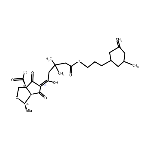 C=C1CC(C)CC(CCCOC(=O)CC(C)(C)C/C(O)=C2/C(=O)N3[C@@H](CCCC)OC[C@]3(C(=O)CC)C2=O)C1